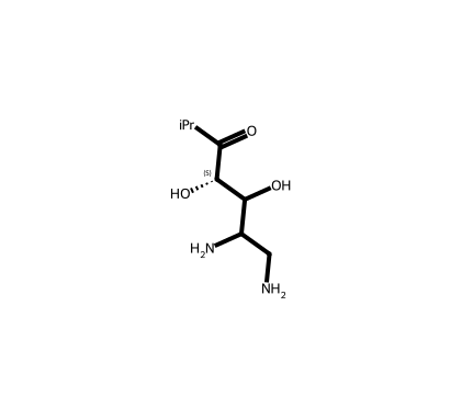 CC(C)C(=O)[C@@H](O)C(O)C(N)CN